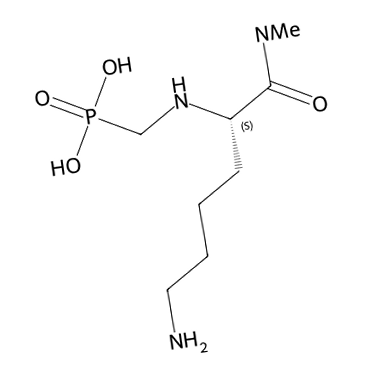 CNC(=O)[C@H](CCCCN)NCP(=O)(O)O